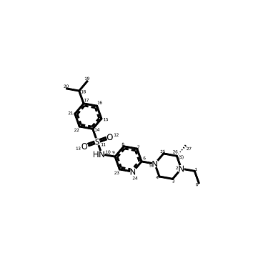 CCN1CCN(c2ccc(NS(=O)(=O)c3ccc(C(C)C)cc3)cn2)C[C@@H]1C